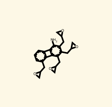 Nc1c(CC2CO2)c(CC2CO2)c(CC2CO2)c2c1-c1cccc(CC3CO3)c1-2